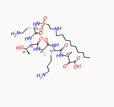 CCCCCCCCCCNCCS(=O)(=O)N[C@@H](CCN)C(=O)N[C@H](C(=O)N[C@@H](C)C(=O)N[C@@H](CCCCN)C(=O)N[C@@H](C)C(=O)C(=O)O)[C@@H](C)O